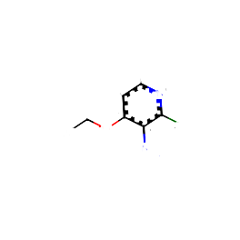 CCOc1ccnc(Cl)c1N